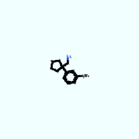 COc1cccc(C2(CN)CCCC2)c1